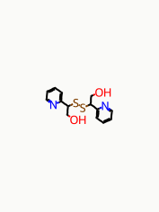 OCC(SSC(CO)c1ccccn1)c1ccccn1